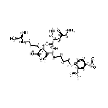 N=C(N)NCCC[C@@H](NC(=O)[C@H](CCCCNc1ccc([N+](=O)[O-])cc1[N+](=O)[O-])NC(=O)[C@H](CO)NC(=O)CN)C(=O)O